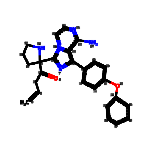 C=CCC(=O)C1(c2nc(-c3ccc(Oc4ccccc4)cc3)c3c(N)nccn23)CCCN1